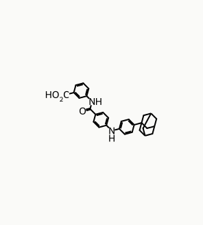 O=C(O)c1cccc(NC(=O)c2ccc(Nc3ccc(C45CC6CC(CC(C6)C4)C5)cc3)cc2)c1